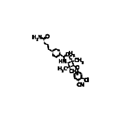 CC1(C)[C@H](NC(=O)c2ccc(CCCC(N)=O)cc2)C(C)(C)[C@H]1Oc1ccc(C#N)c(Cl)c1